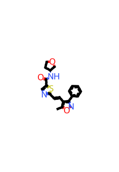 Cc1onc(-c2ccccc2)c1/C=C/c1ncc(C(=O)N[C@@H]2CCOC2)s1